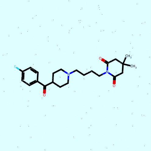 CC1(C)CC(=O)N(CCCCN2CCC(C(=O)c3ccc(F)cc3)CC2)C(=O)C1